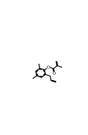 C=CCc1cc(C)cc(C)c1OC(=O)C(=C)C